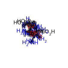 CC(C)C[C@H](NC(=O)[C@H](CCCNC(=N)N)NC(=O)[C@H](CCC(N)=O)NC(=O)[C@H](Cc1c[nH]c2ccccc12)NC(=O)[C@@H](N)CCC(=O)O)C(=O)N[C@@H](CCCCN)C(=O)N[C@@H](Cc1c[nH]c2ccccc12)C(=O)N[C@@H](Cc1ccccc1)C(=O)N[C@@H](CC(=O)O)C(=O)N[C@@H](Cc1c[nH]cn1)C(=O)O